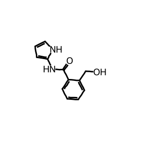 O=C(Nc1ccc[nH]1)c1ccccc1CO